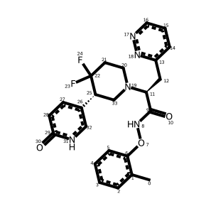 Cc1ccccc1ONC(=O)[C@H](Cc1cccnn1)N1CCC(F)(F)[C@@H](c2ccc(=O)[nH]c2)C1